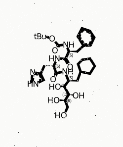 CC(C)(C)OC(=O)N[C@@H](Cc1ccccc1)C(=O)N[C@@H](Cc1c[nH]cn1)C(=O)N[C@@H](CC1CCCCC1)[C@@H](O)[C@H](O)[C@H](O)CO